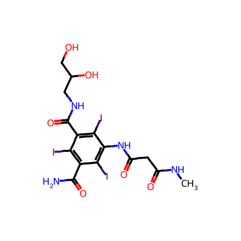 CNC(=O)CC(=O)Nc1c(I)c(C(N)=O)c(I)c(C(=O)NCC(O)CO)c1I